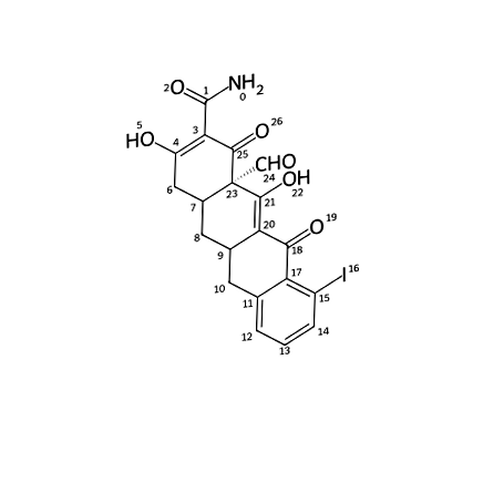 NC(=O)C1=C(O)CC2CC3Cc4cccc(I)c4C(=O)C3=C(O)[C@]2(C=O)C1=O